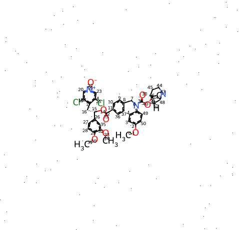 COc1ccc(N(Cc2ccc(C(=O)O[C@@H](Cc3c(Cl)c[n+]([O-])cc3Cl)c3ccc(OC)c(OC)c3)cc2)C(=O)O[C@H]2CN3CCC2CC3)cc1